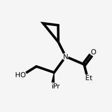 CCC(=O)N(C1CC1)[C@H](CO)C(C)C